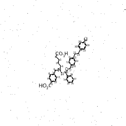 O=C(O)CCCCN(Cc1ccc(C(=O)O)cc1)C[C@H](OCc1ccc(CCc2ccc(Cl)cc2)cc1)c1ccccc1